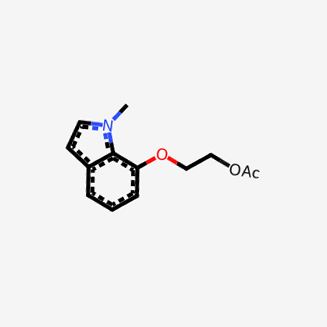 CC(=O)OCCOc1cccc2ccn(C)c12